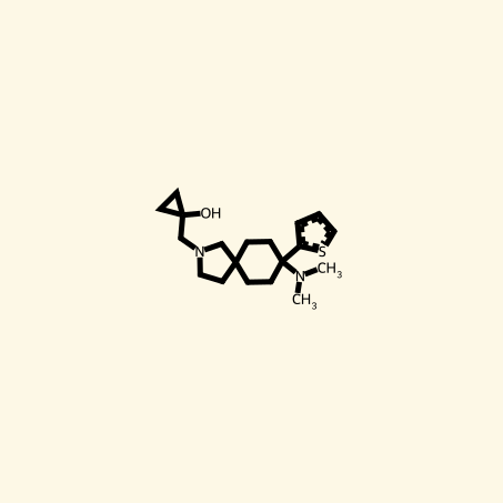 CN(C)C1(c2cccs2)CCC2(CCN(CC3(O)CC3)C2)CC1